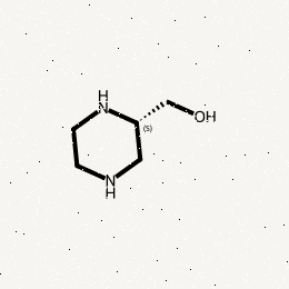 OC[C@@H]1CNCCN1